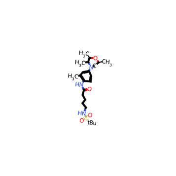 Cc1cc(N2C[C@H](C)O[C@H](C)C2C)ccc1NC(=O)CCCCNS(=O)(=O)C(C)(C)C